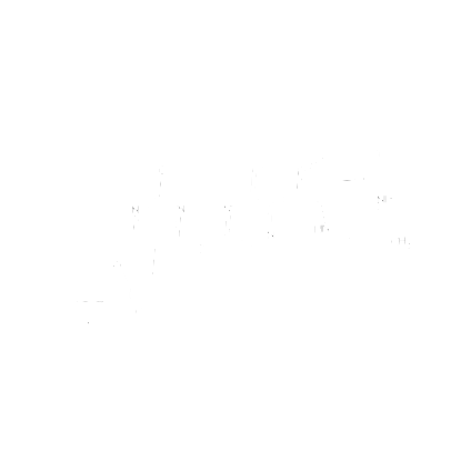 C[C@@H]1CNc2c(sc3ccc4nc(Oc5nc(Cl)ncc5CS(=O)(=O)C5CC5)cnc4c23)C(=O)N1